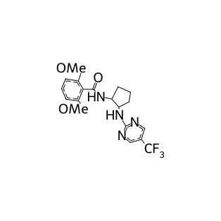 COc1cccc(OC)c1C(=O)NC1CCC[C@@H]1Nc1ncc(C(F)(F)F)cn1